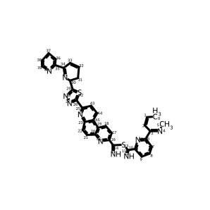 C/C=C\C(=N/C)c1cccc(C(=N)SC(=N)c2ccc3c(ccc4nc(-c5nnc(C6CC=CC(c7ccccn7)=N6)s5)ccc43)n2)n1